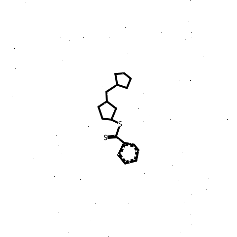 S=C(SC1CCC(CC2CCCC2)C1)c1ccccc1